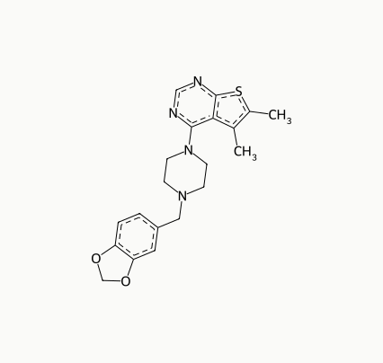 Cc1sc2ncnc(N3CCN(Cc4ccc5c(c4)OCO5)CC3)c2c1C